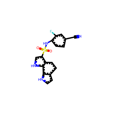 N#Cc1ccc(NS(=O)(=O)c2c[nH]c3c2ccc2cc[nH]c23)c(F)c1